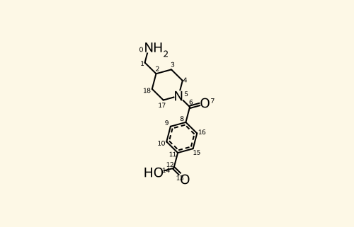 NCC1CCN(C(=O)c2ccc(C(=O)O)cc2)CC1